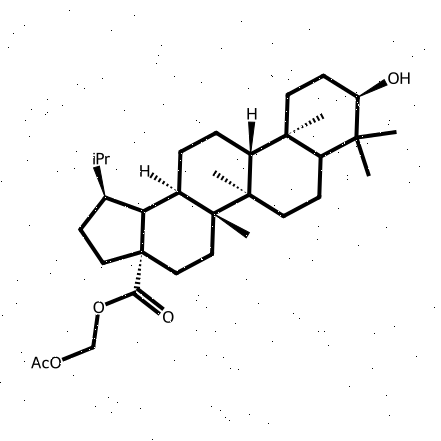 CC(=O)OCOC(=O)[C@]12CC[C@@H](C(C)C)C1[C@H]1CC[C@@H]3[C@@]4(C)CC[C@@H](O)C(C)(C)C4CC[C@@]3(C)[C@]1(C)CC2